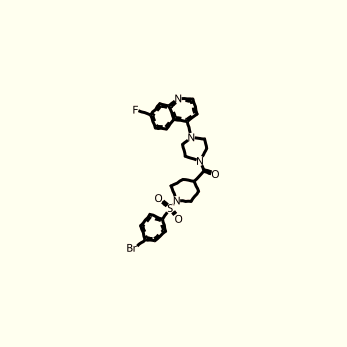 O=C(C1CCN(S(=O)(=O)c2ccc(Br)cc2)CC1)N1CCN(c2ccnc3cc(F)ccc23)CC1